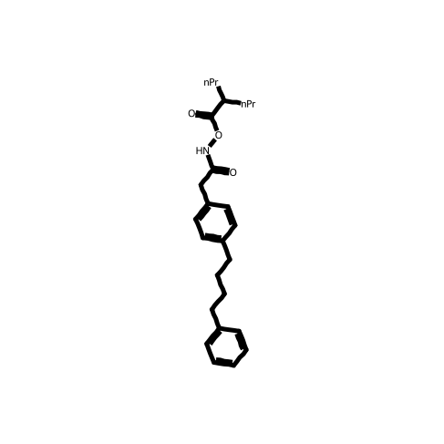 CCCC(CCC)C(=O)ONC(=O)Cc1ccc(CCCCc2ccccc2)cc1